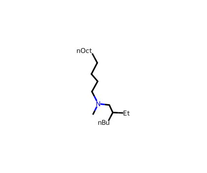 CCCCCCCCCCCCN(C)CC(CC)CCCC